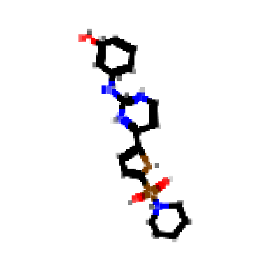 O=S(=O)(c1ccc(-c2ccnc(Nc3cccc(O)c3)n2)s1)N1CCCCC1